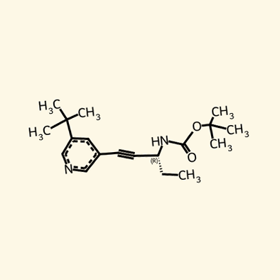 CC[C@H](C#Cc1cncc(C(C)(C)C)c1)NC(=O)OC(C)(C)C